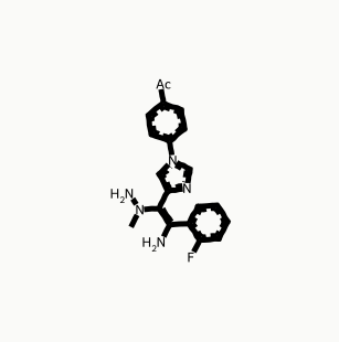 CC(=O)c1ccc(-n2cnc(/C(=C(/N)c3ccccc3F)N(C)N)c2)cc1